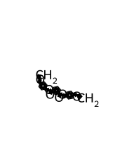 C=COCC1CCC(COC(=O)c2cccc(C(=O)OCC3CCC(COC=C)CC3)c2)CC1